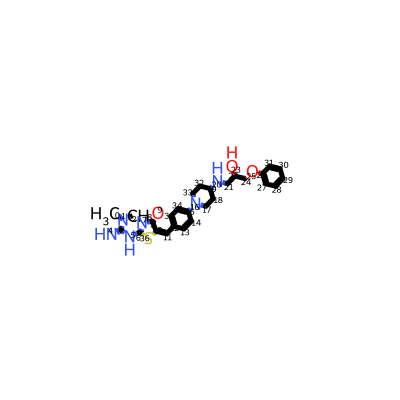 CN(C)C(=N)NC1=NC(=O)/C(=C\c2ccc(N3CCC(NCC(O)COc4ccccc4)CC3)cc2)S1